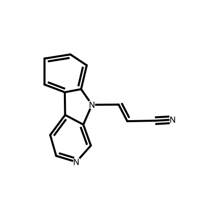 N#CC=Cn1c2ccccc2c2ccncc21